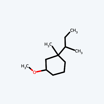 CCC(C)C1(C)CCCC(OC)C1